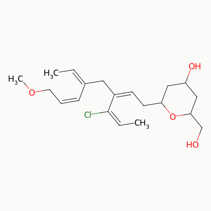 C/C=C(\C=C/COC)CC(=C/CC1CC(O)CC(CO)O1)/C(Cl)=C\C